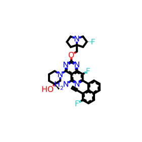 C#Cc1c(F)ccc2cccc(-c3nc(N)c4c(N5CCC[C@@](C)(O)C5)nc(OCC56CCCN5C[C@H](F)C6)nc4c3F)c12